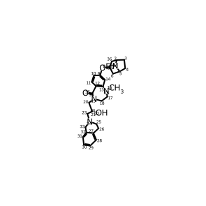 CCN1C2CCC1CC(Oc1ccc3c(c1)N(C)CCN(C[C@H](O)CN1CCc4ccccc4C1)C3=O)C2